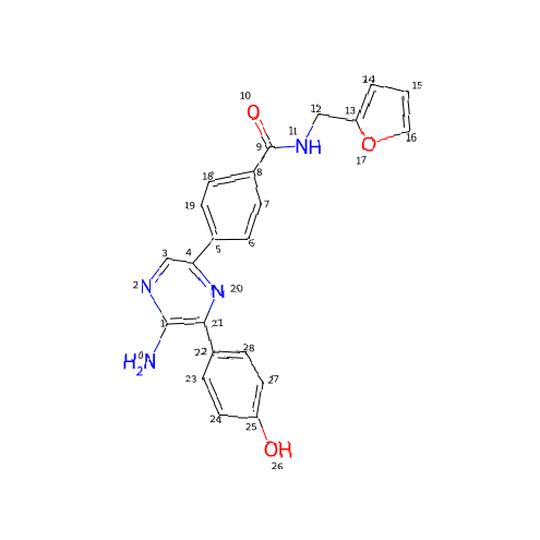 Nc1ncc(-c2ccc(C(=O)NCc3ccco3)cc2)nc1-c1ccc(O)cc1